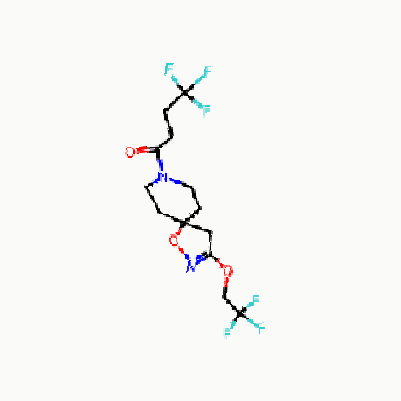 O=C(CCC(F)(F)F)N1CCC2(CC1)CC(OCC(F)(F)F)=NO2